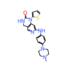 CN1CCN(c2ccc(Nc3cc4c(cn3)CNC(=O)N4c3cccs3)cc2)CC1